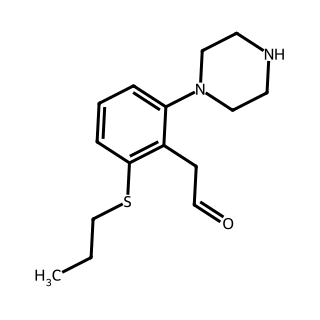 CCCSc1cccc(N2CCNCC2)c1CC=O